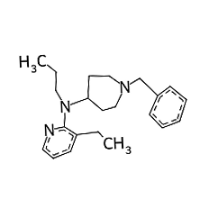 CCCN(c1ncccc1CC)C1CCN(Cc2ccccc2)CC1